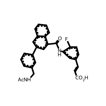 CC(=O)NCc1cccc(-c2cc(C(=O)Nc3cc(C=CC(=O)O)ccc3F)c3ccccc3c2)c1